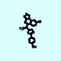 CN(c1cnc(-c2ccc(C(C)(C)C)cc2)s1)c1nc2nncn2c2cc(Cl)ccc12